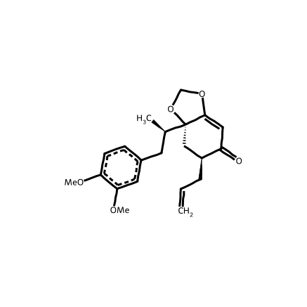 C=CC[C@H]1C[C@]2([C@H](C)Cc3ccc(OC)c(OC)c3)OCOC2=CC1=O